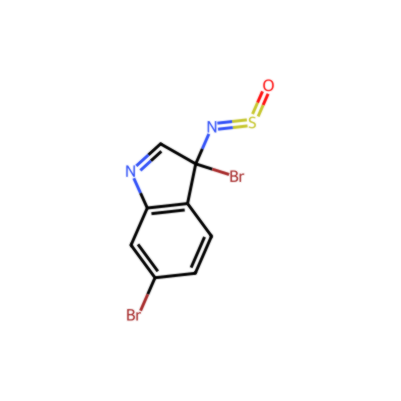 O=S=NC1(Br)C=Nc2cc(Br)ccc21